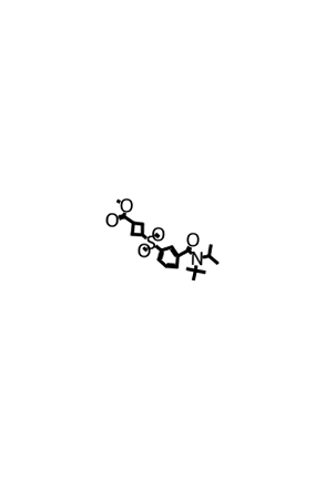 COC(=O)C1CC(S(=O)(=O)c2cccc(C(=O)N(C(C)C)C(C)(C)C)c2)C1